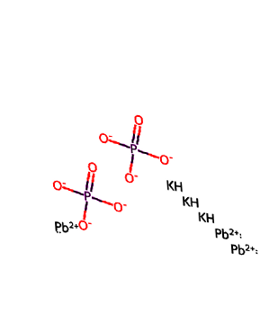 O=P([O-])([O-])[O-].O=P([O-])([O-])[O-].[KH].[KH].[KH].[Pb+2].[Pb+2].[Pb+2]